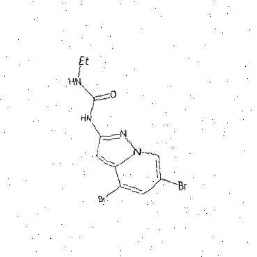 CCNC(=O)Nc1cc2c(Br)cc(Br)cn2n1